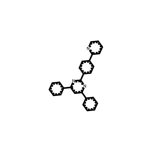 c1ccc(-c2cc(-c3ccccc3)nc(-c3ccc(-c4ccccn4)cc3)n2)cc1